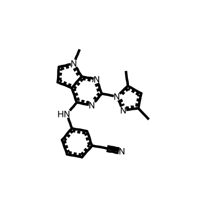 Cc1cc(C)n(-c2nc(Nc3cccc(C#N)c3)c3ccn(C)c3n2)n1